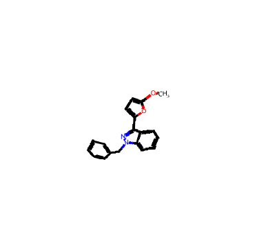 COc1ccc(-c2nn(Cc3ccccc3)c3ccccc23)o1